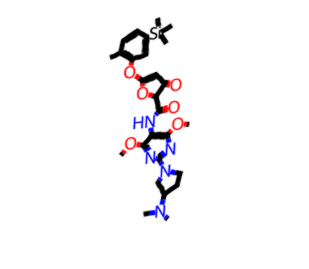 COc1nc(N2CCC(N(C)C)C2)nc(OC)c1NC(=O)C1OC(Oc2cc([Si](C)(C)C)ccc2C)=CC1=O